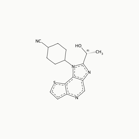 C[C@@H](O)c1nc2cnc3ccsc3c2n1C1CCC(C#N)CC1